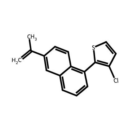 C=C(C)c1ccc2c(-c3sccc3Cl)cccc2c1